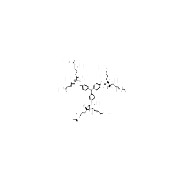 CC(=O)NCCCC(=O)[C@@](N)(CCCCN)C(=O)Nc1ccc(C(c2ccc(NC(=O)[C@](N)(CCCCN)C(=O)CCCNC(C)=O)cc2)c2ccc(NC(=O)[C@](N)(CCCCN)C(=O)CCCNC(C)=O)cc2)cc1.Cl